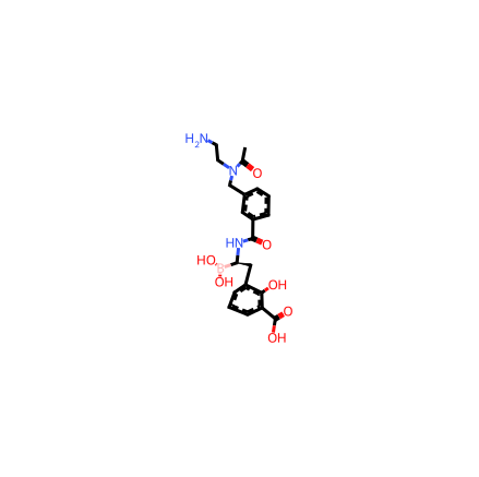 CC(=O)N(CCN)Cc1cccc(C(=O)N[C@@H](Cc2cccc(C(=O)O)c2O)B(O)O)c1